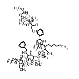 C=CC(NC(C)N(CCCCCC)C(CC)[Si](OC)(OC)OC)c1ccccc1.CCC(Cl)[Si](OC)(OC)OC.CCC(NC(C)NCc1ccccc1)[Si](OC)(OC)OC.CCC(S)[Si](OC)(OC)OC.CO[SiH](OC)OC